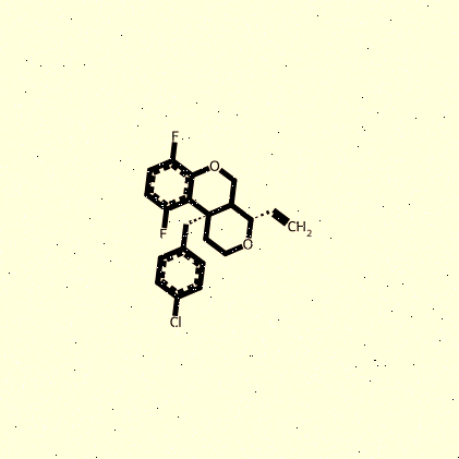 C=C[C@@H]1OCC[C@@]2(Cc3ccc(Cl)cc3)c3c(F)ccc(F)c3OCC12